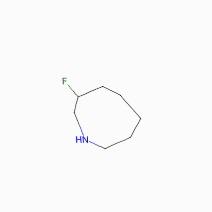 FC1CCCCCNC1